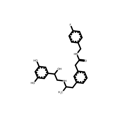 CC(Cc1cccc(CC(=O)NCc2ccc(F)cc2)c1)NCC(O)c1cc(O)cc(O)c1